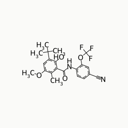 COc1cc(C(C)(C)C)c(O)c(C(=O)Nc2ccc(C#N)cc2OC(F)(F)F)c1C